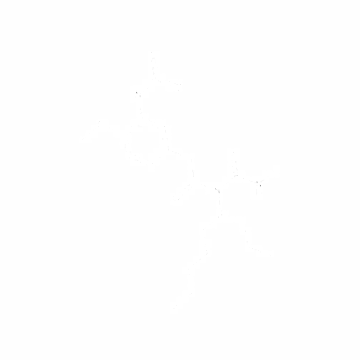 CCCCCC(CCC)N(C(=O)Cc1ccc(OC)c(N=S(=O)=O)c1)C(=S)NC